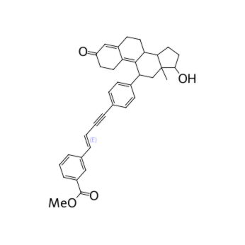 COC(=O)c1cccc(/C=C/C#Cc2ccc(C3CC4(C)C(O)CCC4C4CCC5=CC(=O)CCC5=C34)cc2)c1